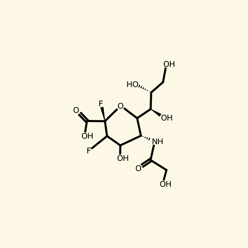 O=C(CO)N[C@@H]1C(O)C(F)[C@](F)(C(=O)O)OC1[C@H](O)[C@H](O)CO